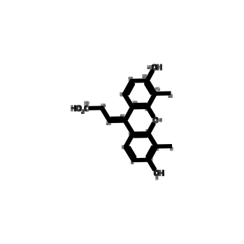 Cc1c(O)ccc2c1Oc1c(ccc(O)c1C)C2=CCC(=O)O